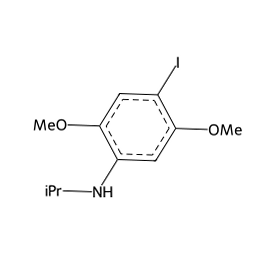 COc1cc(NC(C)C)c(OC)cc1I